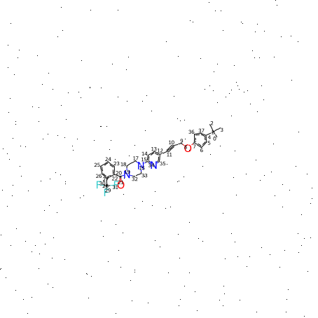 CC(C)(C)c1ccc(OCC#Cc2ccc(N3CCN(C(=O)c4ccccc4C(F)(F)F)CC3)nc2)cc1